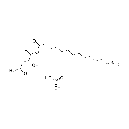 CCCCCCCCCCCCCC(=O)OC(=O)C(O)CC(=O)O.O=[PH](O)O